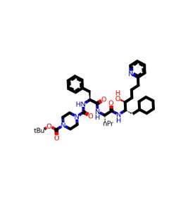 CCC[C@H](NC(=O)[C@H](Cc1ccccc1)NC(=O)N1CCN(C(=O)OC(C)(C)C)CC1)C(=O)N[C@@H](CC1CCCCC1)[C@@H](O)CCCc1ccccn1